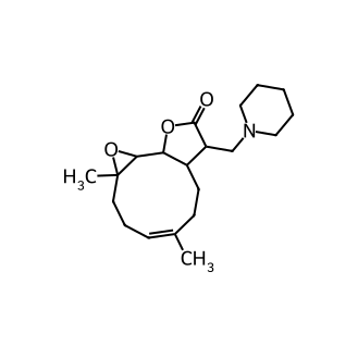 CC1=CCCC2(C)OC2C2OC(=O)C(CN3CCCCC3)C2CC1